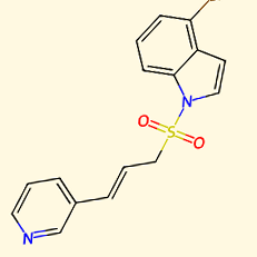 O=S(=O)(CC=Cc1cccnc1)n1ccc2c(Br)cccc21